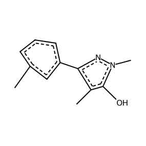 Cc1cccc(-c2nn(C)c(O)c2C)c1